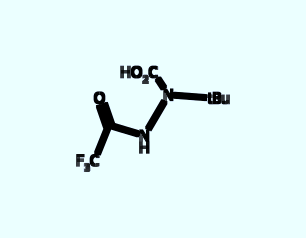 CC(C)(C)N(NC(=O)C(F)(F)F)C(=O)O